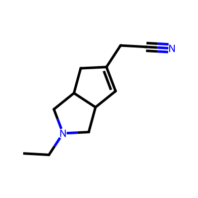 CCN1CC2C=C(CC#N)CC2C1